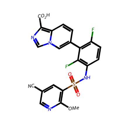 COc1ncc(C#N)cc1S(=O)(=O)Nc1ccc(F)c(-c2ccc3c(C(=O)O)ncn3c2)c1F